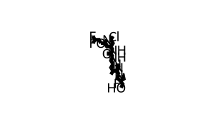 Cc1cc(CNC(=O)Nc2cc(Cl)nc(OCC(F)F)c2)nnc1N1CCC(F)(CO)C1